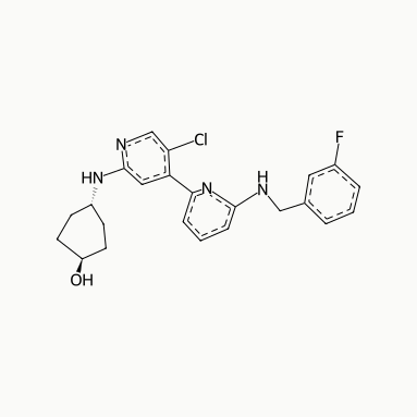 O[C@H]1CC[C@H](Nc2cc(-c3cccc(NCc4cccc(F)c4)n3)c(Cl)cn2)CC1